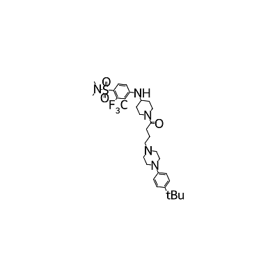 CN(C)S(=O)(=O)c1ccc(NC2CCN(C(=O)CCCN3CCN(c4ccc(C(C)(C)C)cc4)CC3)CC2)cc1C(F)(F)F